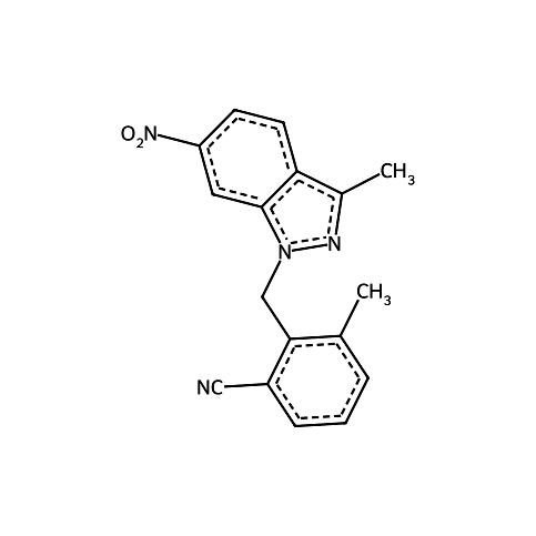 Cc1cccc(C#N)c1Cn1nc(C)c2ccc([N+](=O)[O-])cc21